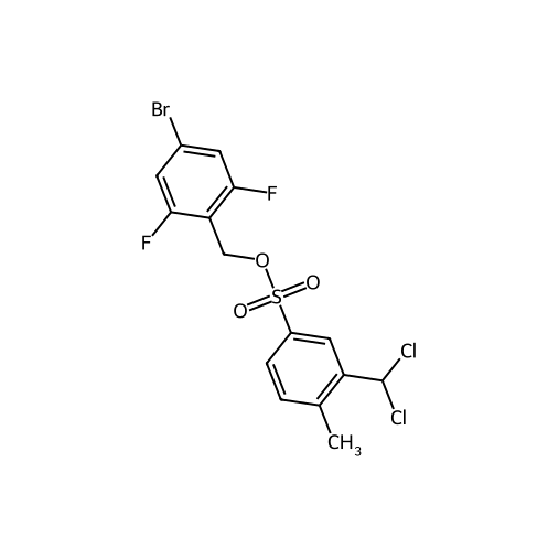 Cc1ccc(S(=O)(=O)OCc2c(F)cc(Br)cc2F)cc1C(Cl)Cl